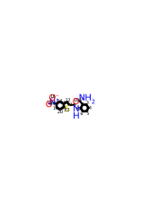 NCc1ccccc1NC(=O)c1cc2cc([N+](=O)[O-])ccc2s1